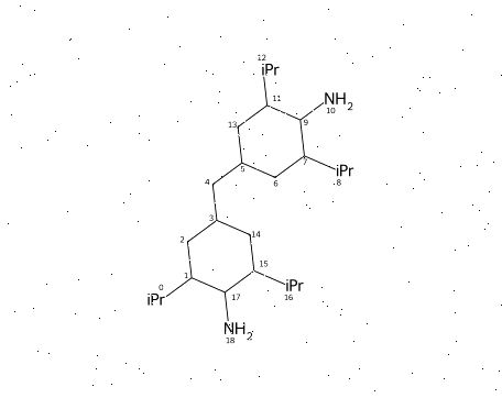 CC(C)C1CC(CC2CC(C(C)C)C(N)C(C(C)C)C2)CC(C(C)C)C1N